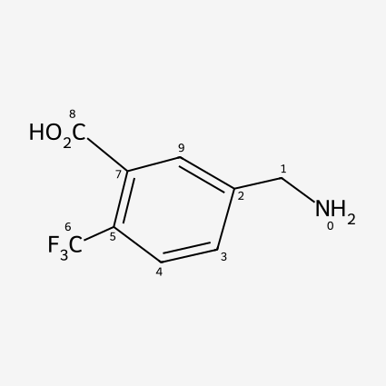 NCc1ccc(C(F)(F)F)c(C(=O)O)c1